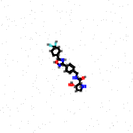 O=C(NCc1ccc(-c2noc(C3CCC(F)(F)CC3)n2)cc1)[C@H]1NCC[C@@H]1O